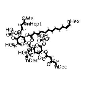 CCCCCC/C=C\CCCCCCCCCC(=O)O[C@H]1[C@H](OC[C@H]2O[C@H](OP(=O)(O)O)[C@H](OC(=O)CC(=O)CCCCCCCCCCC)[C@@H](OCCCCCCCCCC)[C@@H]2OP(=O)(O)O)O[C@H](CO)[C@@H](OP(=O)(O)O)[C@@H]1OCC[C@H](CCCCCCC)OC